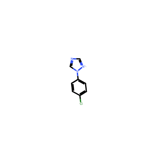 Clc1ccc(N2C=NC=[N+]2)cc1